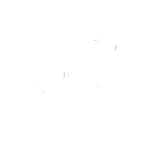 CC1(C)CCc2cc(C3(C(O)c4ccc(F)c(Br)c4)SCCCS3)ccc2O1